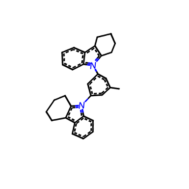 Cc1cc(-n2c3c(c4ccccc42)CCCC3)cc(-n2c3c(c4ccccc42)CCCC3)c1